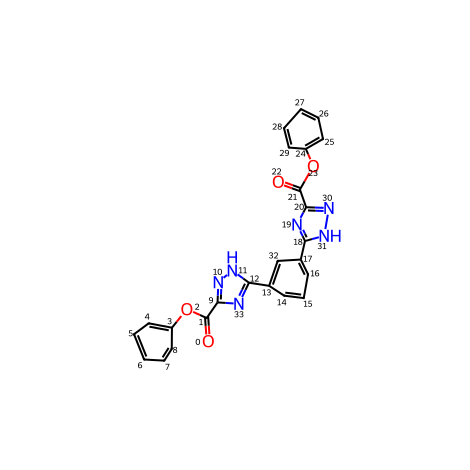 O=C(Oc1ccccc1)c1n[nH]c(-c2cccc(-c3nc(C(=O)Oc4ccccc4)n[nH]3)c2)n1